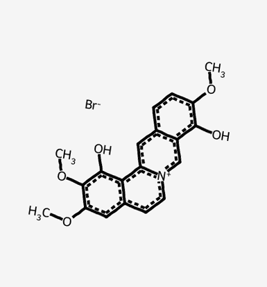 COc1cc2cc[n+]3cc4c(O)c(OC)ccc4cc3c2c(O)c1OC.[Br-]